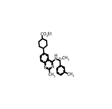 CCOC(=O)C1CCC(c2ccc3nc(C)nc(N[C@H](C)c4cccc(C)c4)c3c2)CC1